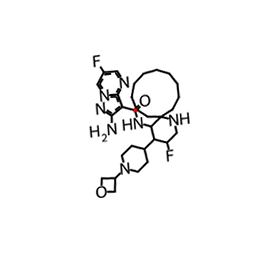 Nc1nn2cc(F)cnc2c1C(=O)NC1C(C2CCN(C3COC3)CC2)C(F)CNC12CCCCCCCCCC2